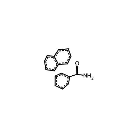 NC(=O)c1ccccc1.c1ccc2ccccc2c1